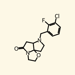 O=C1CC2N(Cc3cccc(Cl)c3F)CCC23OCCN13